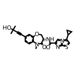 CN1C(=O)[C@@H](NC(=O)c2cn3c(C4CC4)csc3n2)COc2cc(C#CC(C)(C)O)ccc21